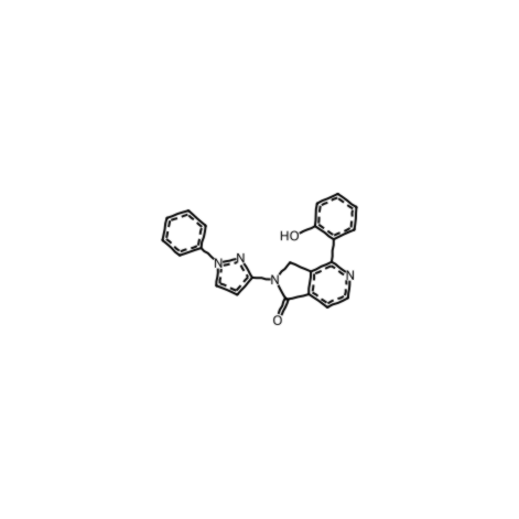 O=C1c2ccnc(-c3ccccc3O)c2CN1c1ccn(-c2ccccc2)n1